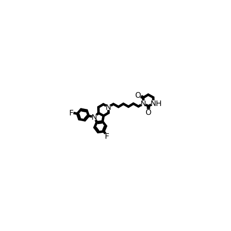 O=C1CCNC(=O)N1CCCCCCN1CCC2C(C1)c1cc(F)ccc1N2c1ccc(F)cc1